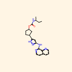 CCC(C)NC(=O)OC1CCC(c2cc(Nc3nccc4cccnc34)n[nH]2)C1